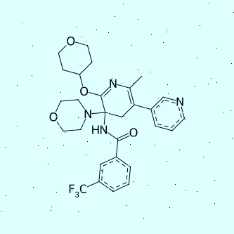 CC1=C(c2cccnc2)CC(NC(=O)c2cccc(C(F)(F)F)c2)(N2CCOCC2)C(OC2CCOCC2)=N1